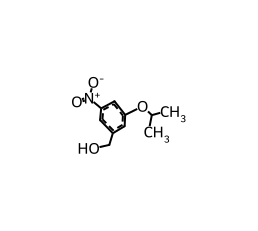 CC(C)Oc1cc(CO)cc([N+](=O)[O-])c1